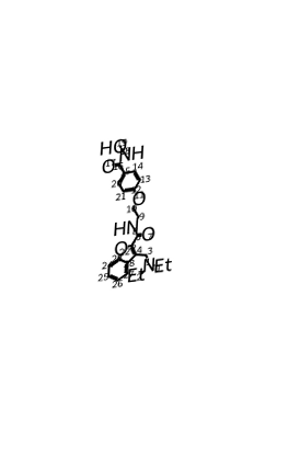 CCN(CC)Cc1c(C(=O)NCCOc2ccc(C(=O)NO)cc2)oc2ccccc12